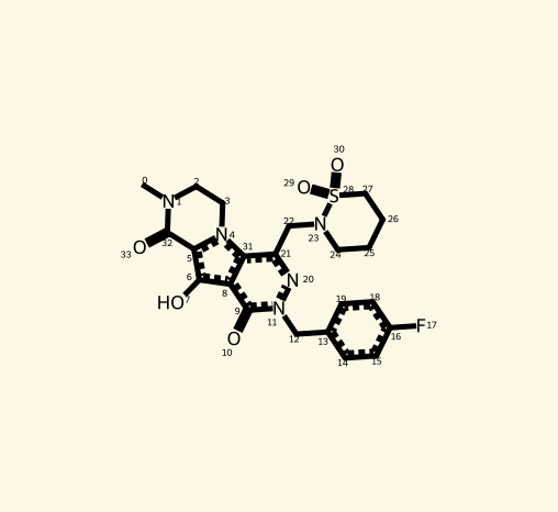 CN1CCn2c(c(O)c3c(=O)n(Cc4ccc(F)cc4)nc(CN4CCCCS4(=O)=O)c32)C1=O